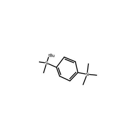 CC(C)(C)[Si](C)(C)c1ccc([Si](C)(C)C)cc1